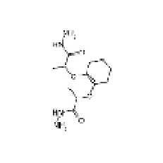 CC(OC1=C(OC(C)C(=O)NN)CCCC1)C(=O)NN